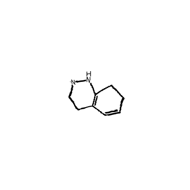 C1=CC2=C(CC1)N[N]CC2